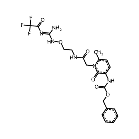 Cc1ccc(NC(=O)OCc2ccccc2)c(=O)n1CC(=O)NCCON/C(N)=N/C(=O)C(F)(F)F